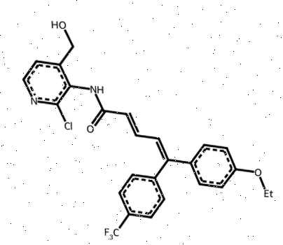 CCOc1ccc(/C(=C/C=C/C(=O)Nc2c(CO)ccnc2Cl)c2ccc(C(F)(F)F)cc2)cc1